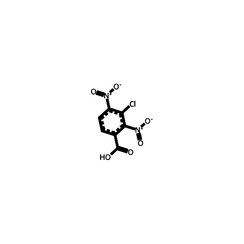 O=C(O)c1ccc([N+](=O)[O-])c(Cl)c1[N+](=O)[O-]